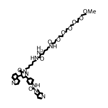 COCCOCCOCCOCCOCCOCCC(=O)NCCCC[C@H](N)C(=O)NCCCCCCN1N=C(c2ccc(NC(=O)N3Cc4ccncc4C3)cc2)CC(c2cccc3ncccc23)C1=O